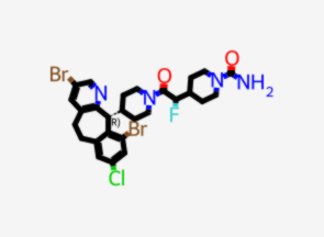 NC(=O)N1CCC(C(F)C(=O)N2CCC([C@H]3c4ncc(Br)cc4CCc4cc(Cl)cc(Br)c43)CC2)CC1